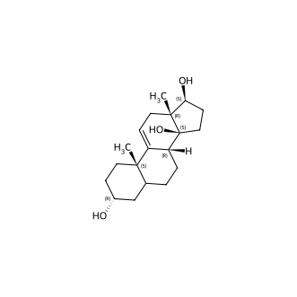 C[C@]12CC[C@@H](O)CC1CC[C@@H]1C2=CC[C@]2(C)[C@@H](O)CC[C@]12O